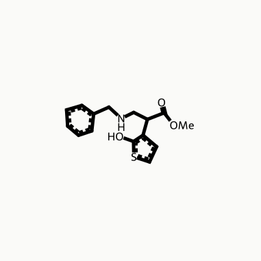 COC(=O)C(CNCc1ccccc1)c1ccsc1O